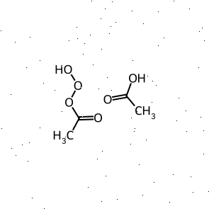 CC(=O)O.CC(=O)OOO